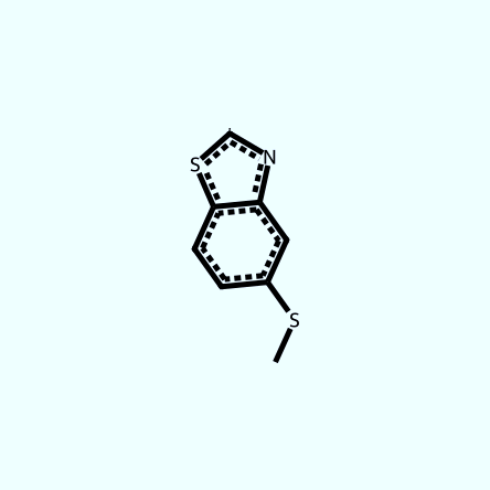 CSc1ccc2s[c]nc2c1